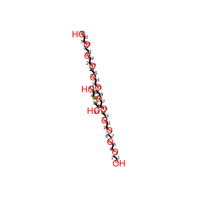 OCCOCCOCCOCCOCCOCCOCCOCCOCCOCCOCCOCCO.OCCSCCO